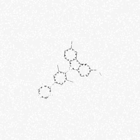 COc1ccc2c(c1)c1cc(C)ccc1n2-c1c(C)cc(-c2ncncn2)cc1C